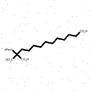 CCCCCC(CCCCCCCCCCC(=O)O)(C(=O)O)C(=O)O